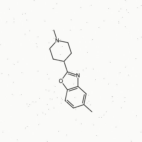 Cc1ccc2oc(C3CCN(C)CC3)nc2c1